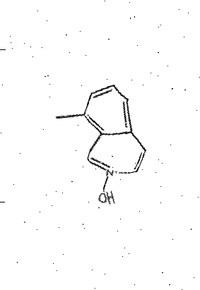 Cc1cccc2cc[n+](O)cc12